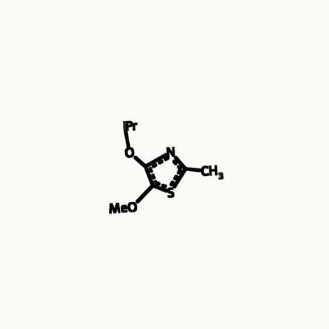 COc1sc(C)nc1OC(C)C